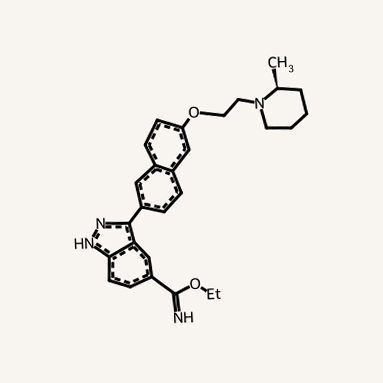 CCOC(=N)c1ccc2[nH]nc(-c3ccc4cc(OCCN5CCCC[C@@H]5C)ccc4c3)c2c1